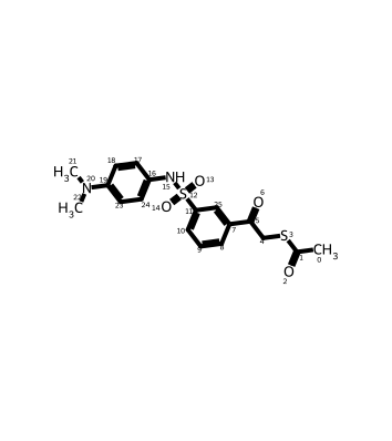 CC(=O)SCC(=O)c1cccc(S(=O)(=O)Nc2ccc(N(C)C)cc2)c1